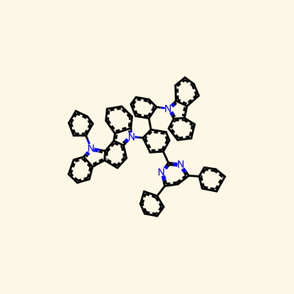 c1ccc(-c2cc(-c3ccccc3)nc(-c3ccc(-c4ccccc4-n4c5ccccc5c5ccccc54)c(-n4c5ccccc5c5c4ccc4c6ccccc6n(-c6ccccc6)c45)c3)n2)cc1